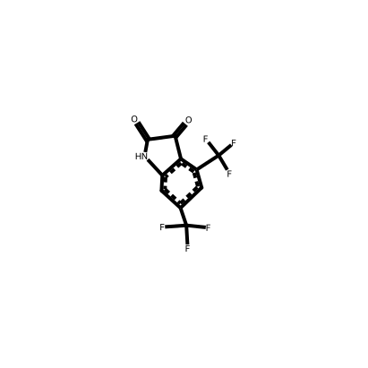 O=C1Nc2cc(C(F)(F)F)cc(C(F)(F)F)c2C1=O